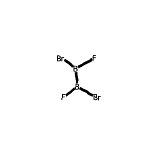 FB(Br)B(F)Br